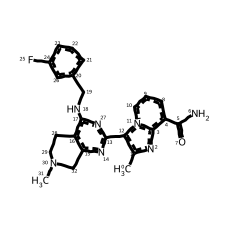 Cc1nc2c(C(N)=O)cccn2c1-c1nc2c(c(NCc3cccc(F)c3)n1)CCN(C)C2